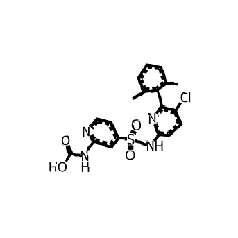 Cc1cccc(C)c1-c1nc(NS(=O)(=O)c2ccnc(NC(=O)O)c2)ccc1Cl